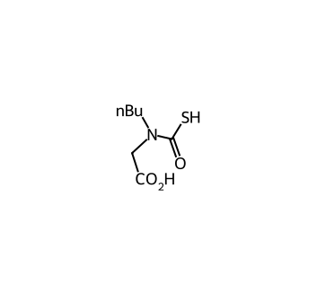 CCCCN(CC(=O)O)C(=O)S